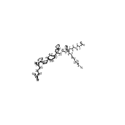 CSCCCCCCN(CCCCCCSC)C(=O)CCCC(OC=O)c1ccc(OC(=O)N(C)CCCN(C)C)cc1